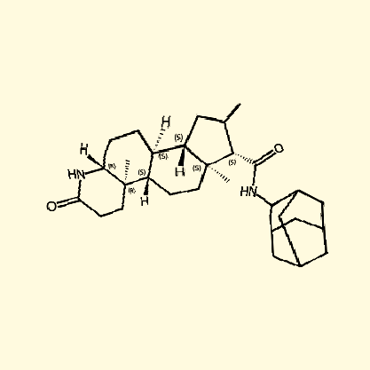 CC1C[C@H]2[C@@H]3CC[C@H]4NC(=O)CC[C@]4(C)[C@H]3CC[C@]2(C)[C@H]1C(=O)NC1C2CC3CC(C2)CC1C3